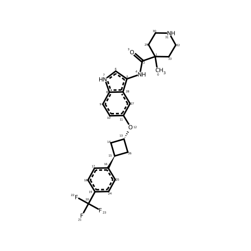 CC1(C(=O)Nc2c[nH]c3ccc(O[C@H]4C[C@H](c5ccc(C(F)(F)F)cc5)C4)cc23)CCNCC1